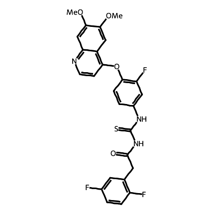 COc1cc2nccc(Oc3ccc(NC(=S)NC(=O)Cc4cc(F)ccc4F)cc3F)c2cc1OC